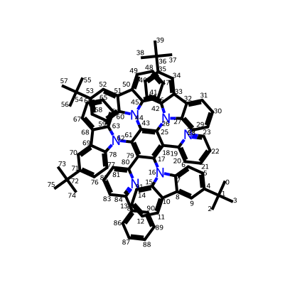 CC(C)(C)c1ccc2c(c1)c1ccccc1n2-c1c(-c2ccccn2)c(-n2c3ccccc3c3cc(C(C)(C)C)ccc32)c(-n2c3ccccc3c3cc(C(C)(C)C)ccc32)c(-n2c3ccccc3c3cc(C(C)(C)C)ccc32)c1-c1cccc(-c2ccccc2)n1